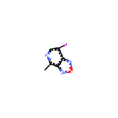 Cc1ncc(I)c2nonc12